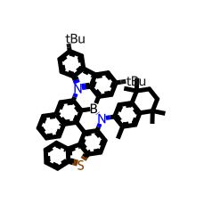 Cc1cc2c(cc1N1B3c4c(cc5ccccc5c4-c4c1ccc1sc5ccccc5c41)-n1c4ccc(C(C)(C)C)cc4c4cc(C(C)(C)C)cc3c41)C(C)(C)CCC2(C)C